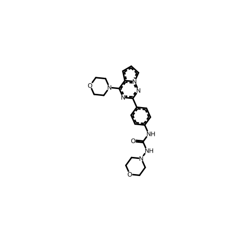 O=C(Nc1ccc(-c2nc(N3CCOCC3)c3cccn3n2)cc1)NN1CCOCC1